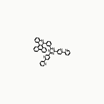 c1ccc(-c2ccc(-c3nc(-c4ccc(-c5ccccn5)nc4)nc(-c4cccc(-c5nc6ccccc6c6c7ccccc7c7ccccc7c56)c4)n3)cn2)nc1